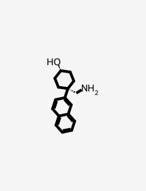 NC[C@]1(c2ccc3ccccc3c2)CC[C@H](O)CC1